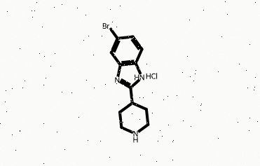 Brc1ccc2[nH]c(C3CCNCC3)nc2c1.Cl